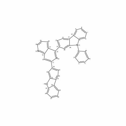 c1ccc(-n2c3ccccc3c3ccc(-c4nc(-c5ccc6c(c5)oc5ccccc56)cc5ncccc45)cc32)cc1